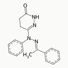 CC(=NN(C1=NNC(=O)CC1)c1ccccc1)c1ccccc1